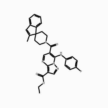 CCOC(=O)c1cnn2c(Nc3ccc(F)cc3)c(C(=O)N3CCC4(CC3)C(C)=Cc3ccccc34)cnc12